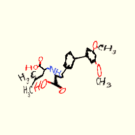 COc1cc(OC)cc(-c2cccc(CC(NC(CC(C)C)C(=O)O)C(=O)O)c2)c1